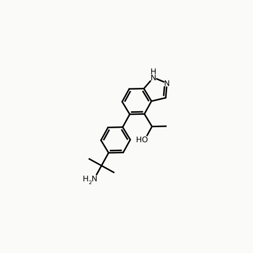 CC(O)c1c(-c2ccc(C(C)(C)N)cc2)ccc2[nH]ncc12